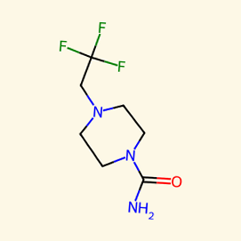 NC(=O)N1CCN(CC(F)(F)F)CC1